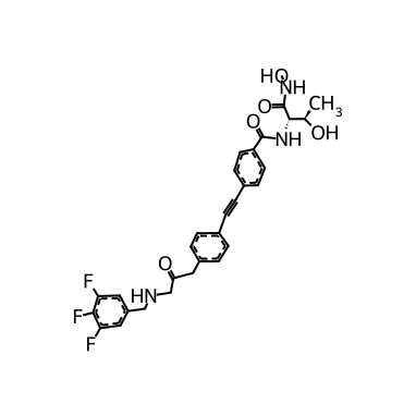 C[C@@H](O)[C@H](NC(=O)c1ccc(C#Cc2ccc(CC(=O)CNCc3cc(F)c(F)c(F)c3)cc2)cc1)C(=O)NO